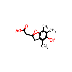 Cc1c(C)c2c(c(C)c1O)CC(CC(=O)O)O2